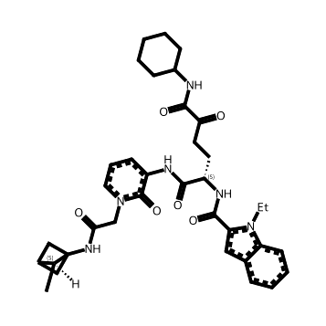 CCn1c(C(=O)N[C@@H](CCC(=O)C(=O)NC2CCCCC2)C(=O)Nc2cccn(CC(=O)NC34CC(C3)[C@@H]4C)c2=O)cc2ccccc21